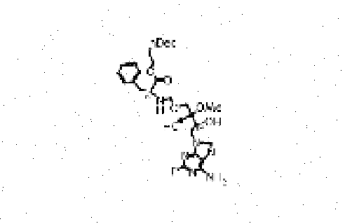 C#CC(COCN[C@@H](Cc1ccccc1)C(=O)OCCCCCCCCCCCC)(OC)[C@@H](O)Cn1cnc2c(N)nc(F)nc21